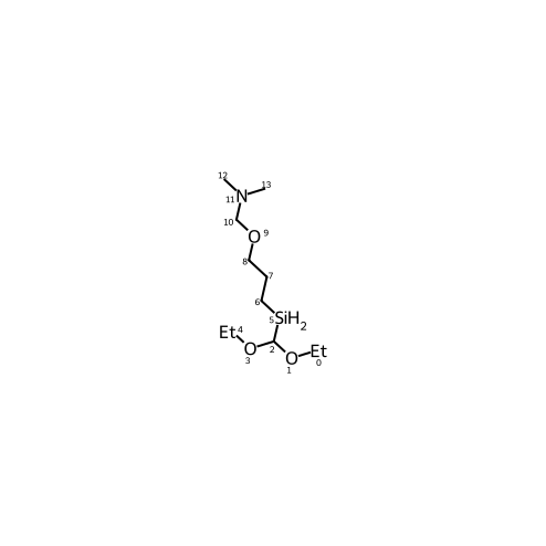 CCOC(OCC)[SiH2]CCCOCN(C)C